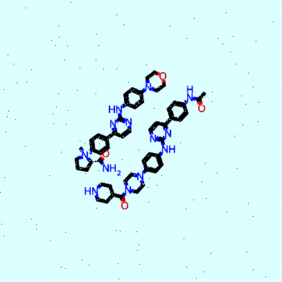 CC(=O)Nc1ccc(-c2ccnc(Nc3ccc(N4CCN(C(=O)C5CCNCC5)CC4)cc3)n2)cc1.C[N+]1(c2ccc(-c3ccnc(Nc4ccc(N5CCOCC5)cc4)n3)cc2)CCC[C@H]1C(N)=O